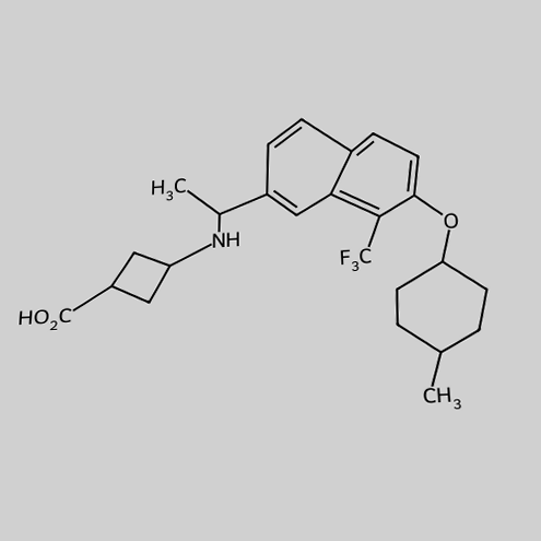 CC1CCC(Oc2ccc3ccc(C(C)NC4CC(C(=O)O)C4)cc3c2C(F)(F)F)CC1